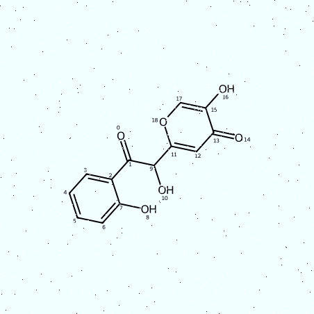 O=C(c1ccccc1O)C(O)c1cc(=O)c(O)co1